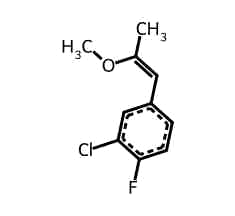 CO/C(C)=C\c1ccc(F)c(Cl)c1